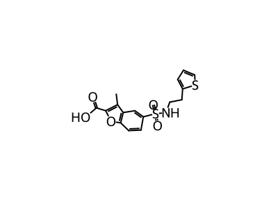 Cc1c(C(=O)O)oc2ccc(S(=O)(=O)NCCc3cccs3)cc12